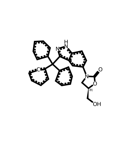 O=C1O[C@@H](CO)CN1c1ccc2[nH]nc(C(c3ccccc3)(c3ccccc3)c3ccccc3)c2c1